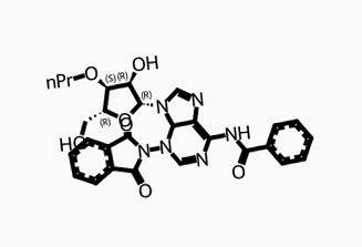 CCCO[C@H]1[C@@H](O)[C@H](N2C=NC3=C(NC(=O)c4ccccc4)N=CN(N4C(=O)c5ccccc5C4=O)C32)O[C@@H]1CO